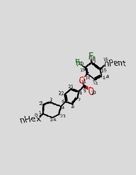 CCCCCCC1CCC(c2ccc(C(=O)Oc3ccc(CCCCC)c(F)c3F)cc2)CC1